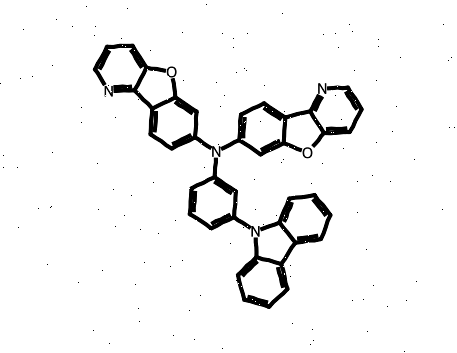 c1cc(N(c2ccc3c(c2)oc2cccnc23)c2ccc3c(c2)oc2cccnc23)cc(-n2c3ccccc3c3ccccc32)c1